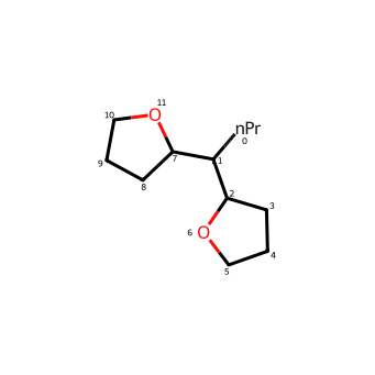 CCC[C](C1CCCO1)C1CCCO1